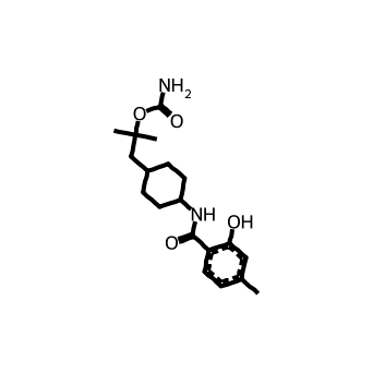 Cc1ccc(C(=O)NC2CCC(CC(C)(C)OC(N)=O)CC2)c(O)c1